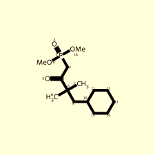 COP(=O)(CC(=O)C(C)(C)CC1CCCCC1)OC